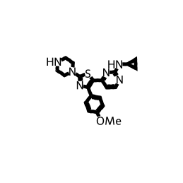 COc1ccc(-c2nc(N3CCNCC3)sc2-c2ccnc(NC3CC3)n2)cc1